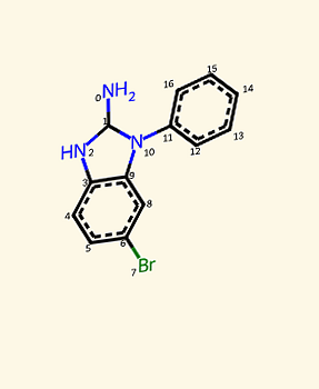 NC1Nc2ccc(Br)cc2N1c1ccccc1